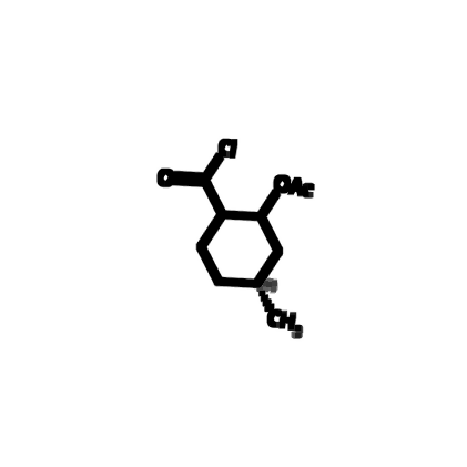 CC(=O)OC1C[C@H](C)CCC1C(=O)Cl